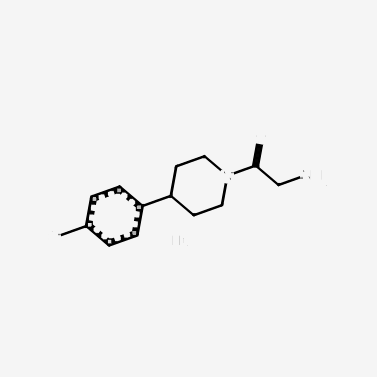 Cl.NCC(=O)N1CCC(c2ccc(Cl)cc2)CC1